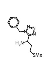 CSCCC(N)c1nnnn1Cc1ccccc1